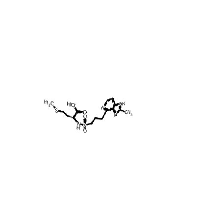 CSCC[C@H](NS(=O)(=O)CCCc1nccc2[nH]c(C)nc12)C(=O)O